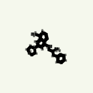 Nc1nccc2c(NC[C@@H](N)Cc3ccccc3)nc(N3CCOCC3)nc12